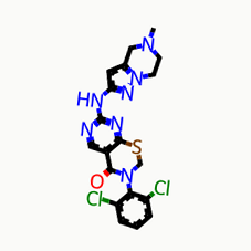 CN1CCn2nc(Nc3ncc4c(n3)SCN(c3c(Cl)cccc3Cl)C4=O)cc2C1